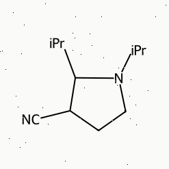 CC(C)C1C(C#N)CCN1C(C)C